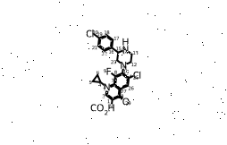 O=C(O)c1cn(C2CC2)c2c(F)c(N3CCNC(c4ccc(Cl)cc4)C3)c(Cl)cc2c1=O